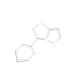 c1ccc(-c2cnc3cc[nH]n23)cc1